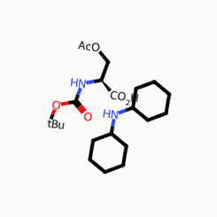 C1CCC(NC2CCCCC2)CC1.CC(=O)OC[C@H](NC(=O)OC(C)(C)C)C(=O)O